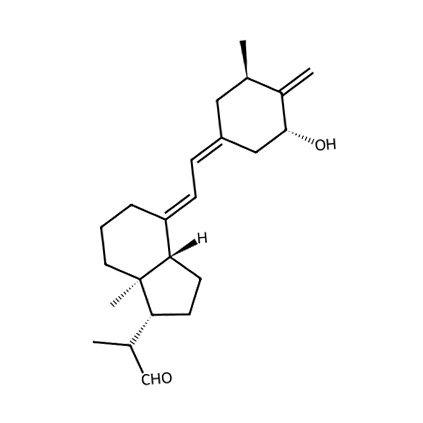 C=C1[C@H](C)C/C(=C/C=C2\CCC[C@]3(C)[C@@H](C(C)C=O)CC[C@@H]23)C[C@H]1O